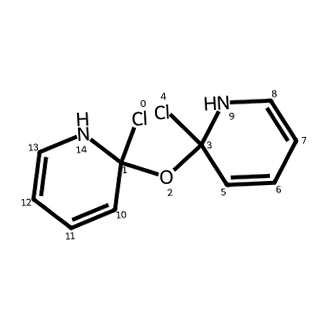 ClC1(OC2(Cl)C=CC=CN2)C=CC=CN1